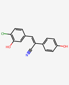 N#CC(=Cc1ccc(Cl)c(O)c1)c1ccc(O)cc1